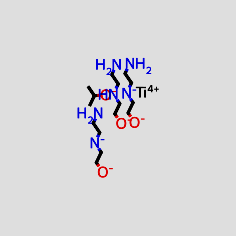 CC(C)[O-].NCCNCC[O-].NCC[N-]CC[O-].NCC[N-]CC[O-].[Ti+4]